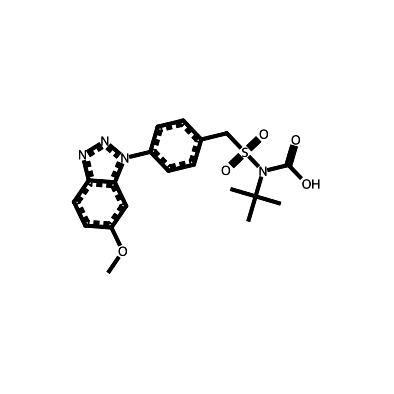 COc1ccc2nnn(-c3ccc(CS(=O)(=O)N(C(=O)O)C(C)(C)C)cc3)c2c1